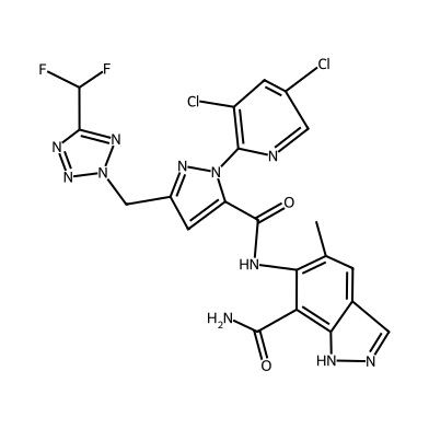 Cc1cc2cn[nH]c2c(C(N)=O)c1NC(=O)c1cc(Cn2nnc(C(F)F)n2)nn1-c1ncc(Cl)cc1Cl